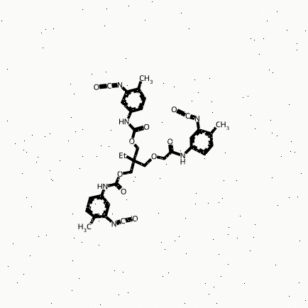 CCC(COCC(=O)Nc1ccc(C)c(N=C=O)c1)(COC(=O)Nc1ccc(C)c(N=C=O)c1)COC(=O)Nc1ccc(C)c(N=C=O)c1